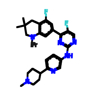 CC(C)N1CC(C)(C)Cc2c(F)cc(-c3nc(Nc4ccc(C5CCN(C)CC5)nc4)ncc3F)cc21